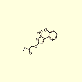 COC(=O)COc1cc(-c2ncccc2Cl)n(O)n1